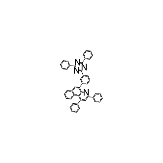 c1ccc(-c2cc(-c3ccccc3)c3c(n2)c(-c2cccc(-c4nc(-c5ccccc5)nc(-c5ccccc5)n4)c2)cc2ccccc23)cc1